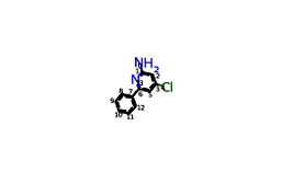 Nc1cc(Cl)cc(-c2ccccc2)n1